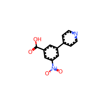 O=C(O)c1cc(-c2ccncc2)cc([N+](=O)[O-])c1